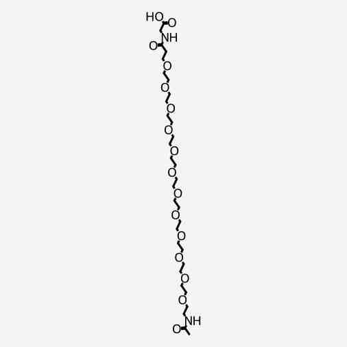 CC(=O)NCCOCCOCCOCCOCCOCCOCCOCCOCCOCCOCCOCCOCCC(=O)NCC(=O)O